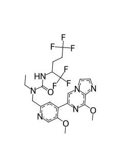 CCN(Cc1cc(-c2cn3ccnc3c(OC)n2)c(OC)cn1)C(=O)NC(CCC(F)(F)F)C(F)(F)F